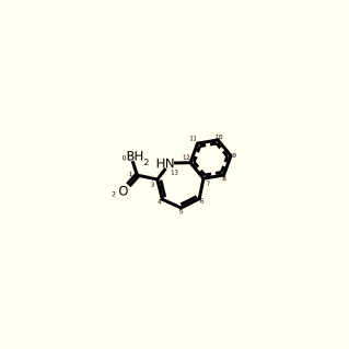 BC(=O)C1=CC=Cc2ccccc2N1